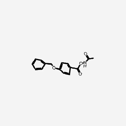 CC(=O)NOC(=O)c1ccc(OCc2ccccc2)cc1